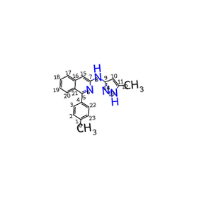 Cc1ccc(-c2nc(Nc3cc(C)[nH]n3)cc3ccccc23)cc1